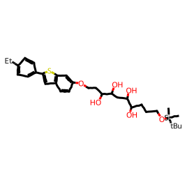 CCc1ccc(-c2cc3ccc(OCCC(O)C(O)CC(O)C(O)CCCO[Si](C)(C)C(C)(C)C)cc3s2)cc1